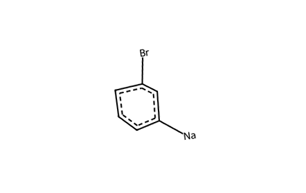 [Na][c]1cccc(Br)c1